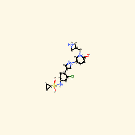 O=c1ccc(-n2cc(-c3ccc(NS(=O)(=O)C4CC4)cc3Cl)cn2)cn1CC1CNC1